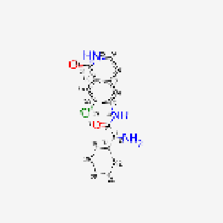 NC(C(=O)Nc1cc2cc[nH]c(=O)c2cc1Cl)C1CCCCC1